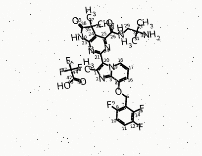 Cc1nc2c(OCc3c(F)ccc(F)c3F)cccn2c1-c1nc2c(c(C(=O)NCC(C)(C)N)n1)C(C)(C)C(=O)N2.O=C(O)C(F)(F)F